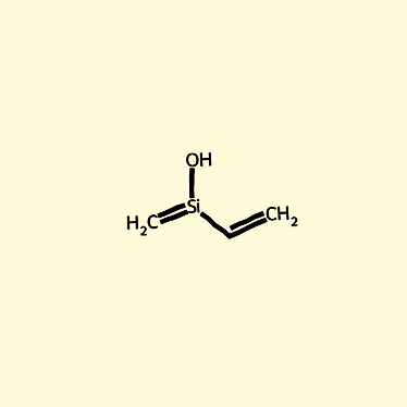 C=C[Si](=C)O